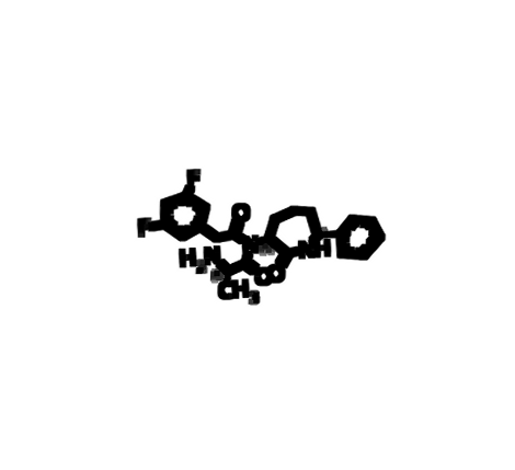 C[C@H](N)C(=O)N(C(=O)Cc1cc(F)cc(F)c1)[C@H]1CCC[C@@H](c2ccccc2)NC1=O